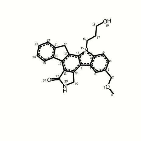 COCc1ccc2c(c1)c1c3c(c4c(c1n2CCCO)Cc1ccccc1-4)C(=O)NC3